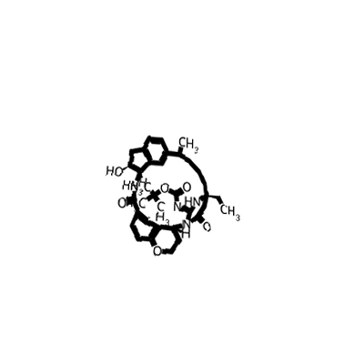 CC[C@@]12CCCC(C)c3ccc4c(c3)[C@@H](NC(=O)c3ccc5c(c3)[C@@H](CCO5)N(C(=O)C1)/C(=N/C(=O)OC(C)(C)C)N2)[C@H](O)C4